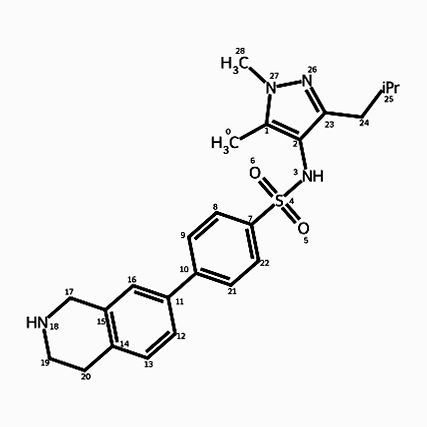 Cc1c(NS(=O)(=O)c2ccc(-c3ccc4c(c3)CNCC4)cc2)c(CC(C)C)nn1C